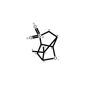 CC1(C)C2CC3C(O2)C1CS3(=O)=O